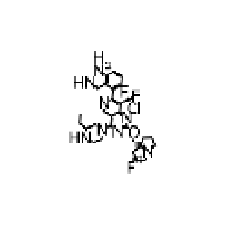 CCC1CN(c2nc(OC[C@]34CCCN3C[C@@H](F)C4)nc3c(C(F)(F)Cl)c(-c4cccc(N)c4C=N)ncc23)CCN1